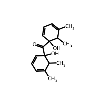 CC1=CC=CC(O)(C(=O)C2(O)C=CC=C(C)C2C)C1C